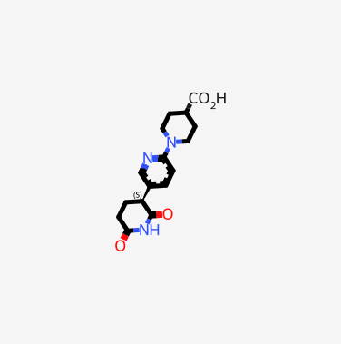 O=C1CC[C@@H](c2ccc(N3CCC(C(=O)O)CC3)nc2)C(=O)N1